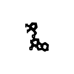 O=c1nc(OCc2cccc(F)c2F)cc2n1CC1CSCCN21